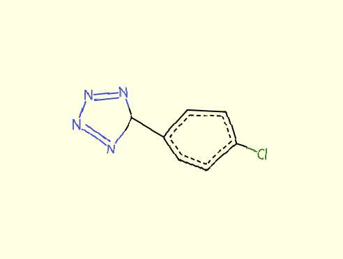 Clc1ccc(C2N=NN=N2)cc1